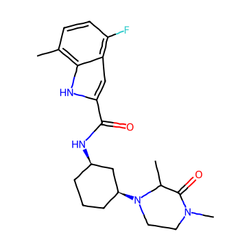 Cc1ccc(F)c2cc(C(=O)N[C@@H]3CCC[C@H](N4CCN(C)C(=O)C4C)C3)[nH]c12